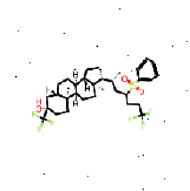 C[C@H](CC(CCC(F)(F)F)S(=O)(=O)c1ccccc1)[C@H]1CC[C@H]2[C@@H]3CC[C@H]4C[C@](O)(C(F)(F)F)CC[C@]4(C)[C@H]3CC[C@]12C